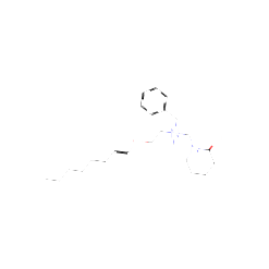 CCCCCCC=COCC[N+](C)(Cc1ccccc1)CN1CCCCC1=O